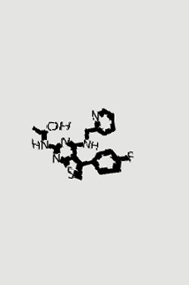 CC(O)Nc1nc(NCc2ccccn2)c2c(-c3ccc(F)cc3)csc2n1